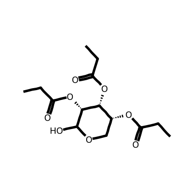 CCC(=O)O[C@@H]1[C@H](OC(=O)CC)COC(O)[C@@H]1OC(=O)CC